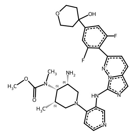 COC(=O)N(C)[C@@H]1[C@H](N)CN(c2ccncc2Nc2ncc3ccc(-c4c(F)cc(C5(O)CCOCC5)cc4F)nn23)C[C@@H]1C